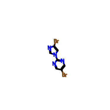 Brc1cnc(-n2cnc(Br)c2)nc1